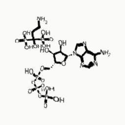 NCCC(O)(P(=O)(O)O)P(=O)(O)O.Nc1ncnc2c1ncn2[C@@H]1O[C@H](COP(=O)(O)OP(=O)(O)OP(=O)(O)O)[C@@H](O)[C@H]1O